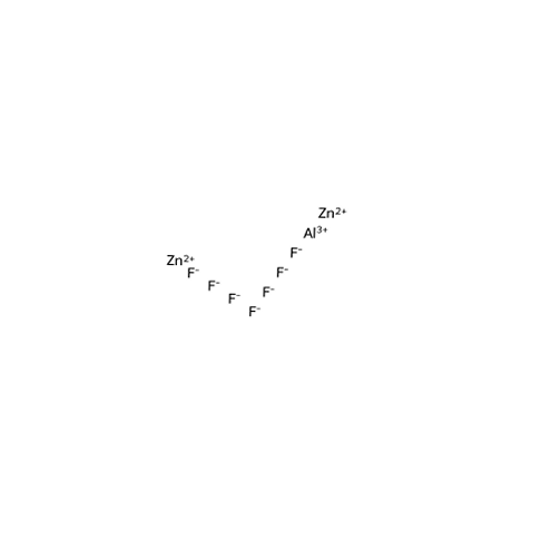 [Al+3].[F-].[F-].[F-].[F-].[F-].[F-].[F-].[Zn+2].[Zn+2]